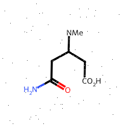 CNC(CC(N)=O)CC(=O)O